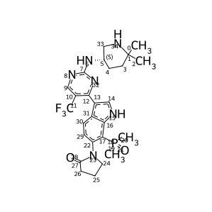 CC1(C)CC[C@H](Nc2ncc(C(F)(F)F)c(-c3c[nH]c4c(P(C)(C)=O)c(N5CCCC5=O)ccc34)n2)CN1